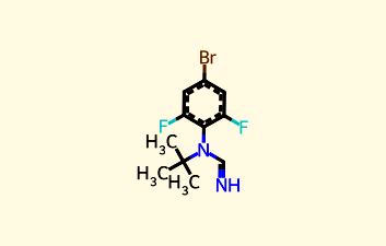 CC(C)(C)N(C=N)c1c(F)cc(Br)cc1F